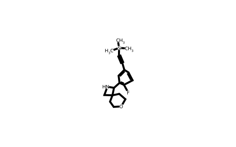 C[Si](C)(C)C#Cc1ccc(F)c(C2NCC23CCOCC3)c1